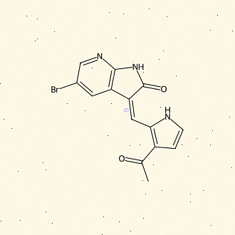 CC(=O)c1cc[nH]c1/C=C1\C(=O)Nc2ncc(Br)cc21